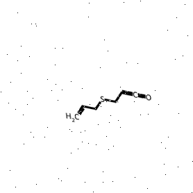 C=CCS[CH]C=C=O